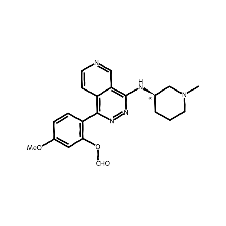 COc1ccc(-c2nnc(N[C@@H]3CCCN(C)C3)c3cnccc23)c(OC=O)c1